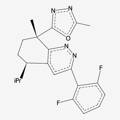 Cc1nnc([C@@]2(C)CC[C@H](C(C)C)c3cc(-c4c(F)cccc4F)nnc32)o1